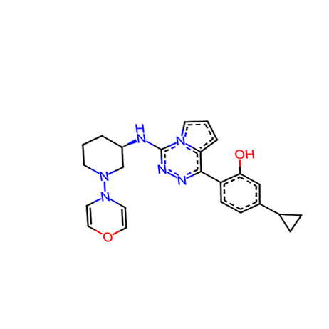 Oc1cc(C2CC2)ccc1-c1nnc(N[C@@H]2CCCN(N3C=COC=C3)C2)n2cccc12